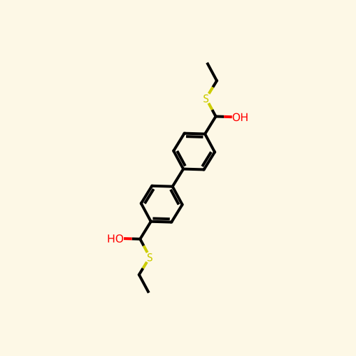 CCSC(O)c1ccc(-c2ccc(C(O)SCC)cc2)cc1